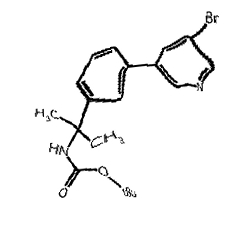 CC(C)(C)OC(=O)NC(C)(C)c1cccc(-c2cncc(Br)c2)c1